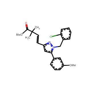 COC(=O)C(C)(C)/C=C/c1cc(-c2cccc(OC)c2)n(Cc2ccccc2Cl)n1